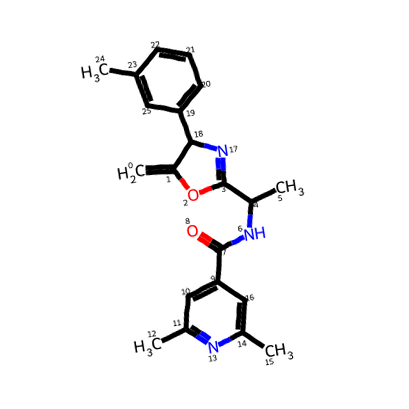 C=C1OC(C(C)NC(=O)c2cc(C)nc(C)c2)=NC1c1cccc(C)c1